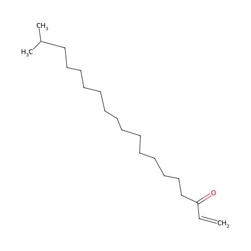 C=CC(=O)CCCCCCCCCCCCCCC(C)C